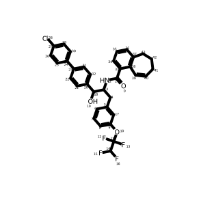 O=C(NC(Cc1cccc(OC(F)(F)C(F)F)c1)C(O)c1ccc(-c2ccc(Cl)cc2)cc1)c1cccc2c1C=CCCC2